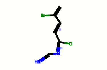 C=C(Br)/C=C/C(Cl)=N\C=N